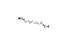 C#CCCCCCCCCC#C